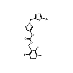 CC(=O)c1ccc(Cn2cc(NC(=O)OCc3c(F)ccc(C)c3Cl)cn2)o1